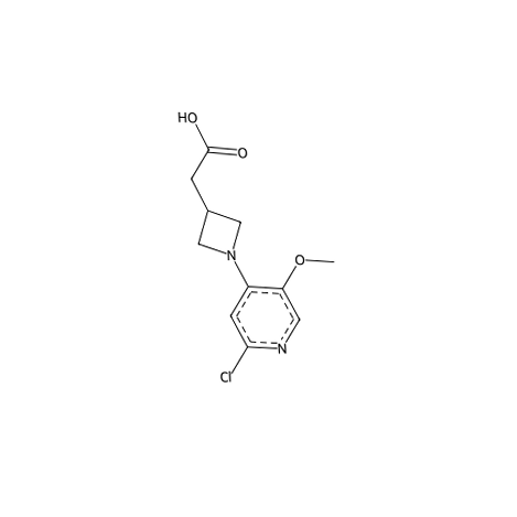 COc1cnc(Cl)cc1N1CC(CC(=O)O)C1